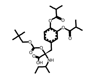 CCC(C)N[C@@](Cc1ccc(OC(=O)C(C)C)c(OC(=O)C(C)C)c1)(OC(=O)OCC(C)(C)C)C(=O)O